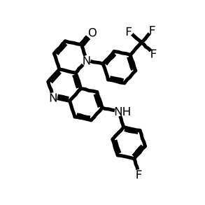 O=c1ccc2cnc3ccc(Nc4ccc(F)cc4)cc3c2n1-c1cccc(C(F)(F)F)c1